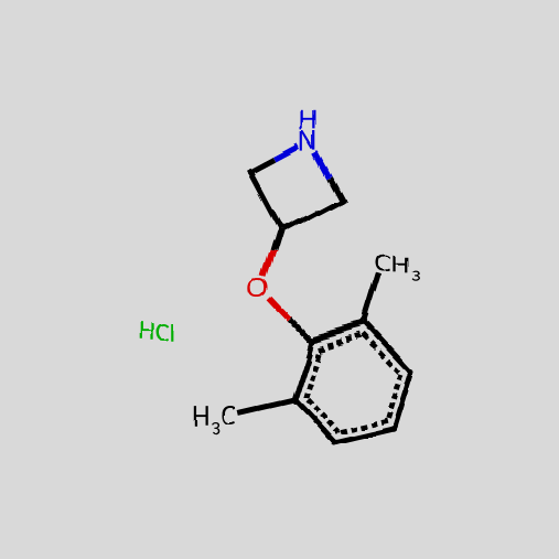 Cc1cccc(C)c1OC1CNC1.Cl